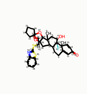 CC12C[C@H](O)[C@@]3(F)C(CCC4=CC(=O)C=CC43C)C1C[C@H]1OC3(CCCC3)O[C@]12C(=O)CSc1nc2ccccc2s1